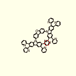 c1ccc(-c2cc3c4cc(-c5ccccn5)c(-c5ccccn5)cc4n(-c4ccc5oc6ccc(-n7c8cc(-c9ccccn9)c(-c9ccccn9)cc8c8cc(-c9ccccn9)c(-c9ccccn9)cc87)cc6c5c4)c3cc2-c2ccccn2)nc1